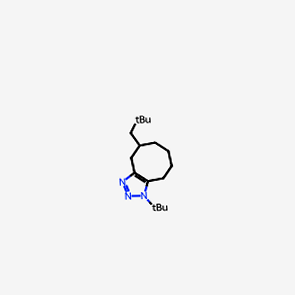 CC(C)(C)CC1CCCCc2c(nnn2C(C)(C)C)C1